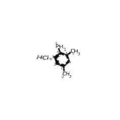 Cc1ccc(P)c(C)c1.Cl